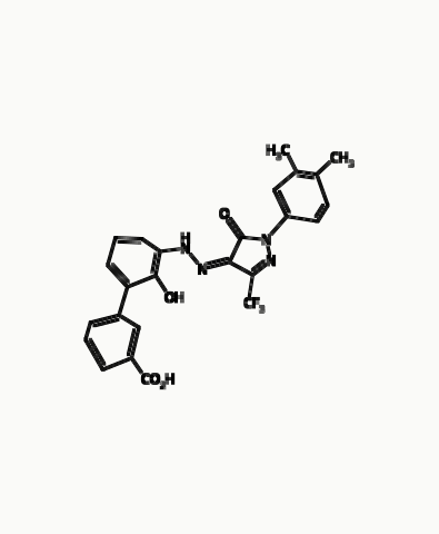 Cc1ccc(N2N=C(C(F)(F)F)/C(=N/Nc3cccc(-c4cccc(C(=O)O)c4)c3O)C2=O)cc1C